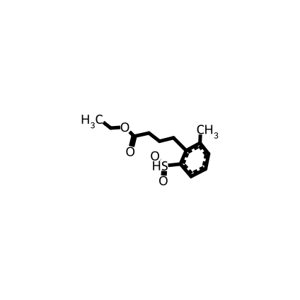 CCOC(=O)CCCc1c(C)cccc1[SH](=O)=O